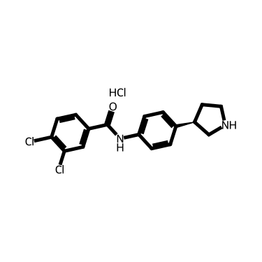 Cl.O=C(Nc1ccc([C@H]2CCNC2)cc1)c1ccc(Cl)c(Cl)c1